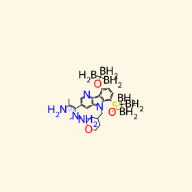 BC(B)(B)Oc1ccc([S+]([O-])C(B)(B)B)c2c1c1ncc(/C(=C(\C)N)N(C)N)cc1n2CC1CCOCC1